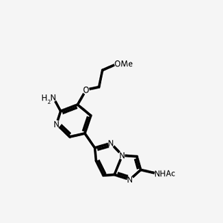 COCCOc1cc(-c2ccc3nc(NC(C)=O)cn3n2)cnc1N